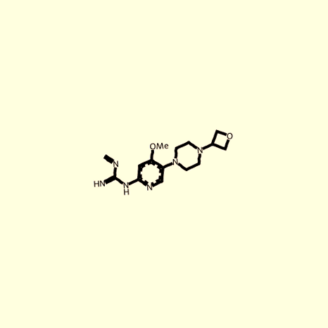 C=NC(=N)Nc1cc(OC)c(N2CCN(C3COC3)CC2)cn1